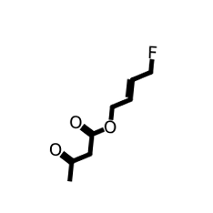 CC(=O)CC(=O)OCC=CCF